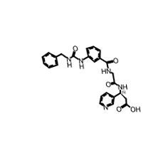 O=C(O)C[C@H](NC(=O)CNC(=O)c1cccc(NC(=O)NCc2ccccc2)c1)c1cccnc1